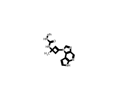 CCCNC(=O)NC1(C)C=C(n2cnc3cnc4[nH]ccc4c32)C1